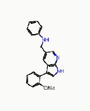 COc1ccccc1-c1c[nH]c2ncc(CNc3ccccc3)cc12